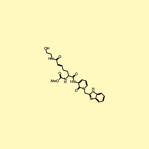 COC(=O)NC(CCC=CC(=O)NCCO)C(=O)Nc1cccn(Cc2nc3ccccc3[nH]2)c1=O